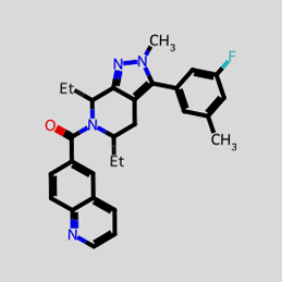 CCC1Cc2c(nn(C)c2-c2cc(C)cc(F)c2)C(CC)N1C(=O)c1ccc2ncccc2c1